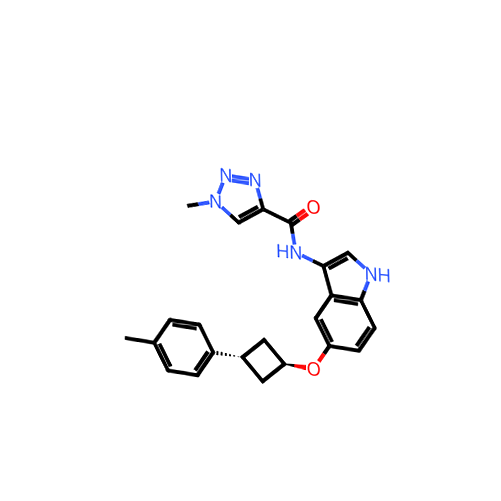 Cc1ccc([C@H]2C[C@H](Oc3ccc4[nH]cc(NC(=O)c5cn(C)nn5)c4c3)C2)cc1